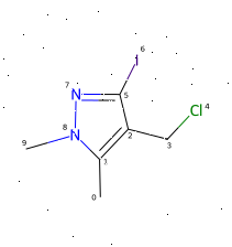 Cc1c(CCl)c(I)nn1C